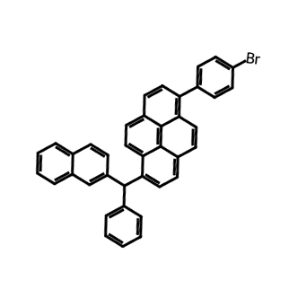 Brc1ccc(-c2ccc3ccc4c(C(c5ccccc5)c5ccc6ccccc6c5)ccc5ccc2c3c54)cc1